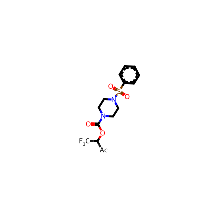 CC(=O)C(OC(=O)N1CCN(S(=O)(=O)c2ccccc2)CC1)C(F)(F)F